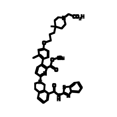 Cc1cc(OCCCC2(C)CCN(CC(=O)O)CC2)ccc1-c1ccc(N2CCc3cccc(C(=O)Nc4nc5ccccc5s4)c3C2)nc1C(=O)OC(C)(C)C